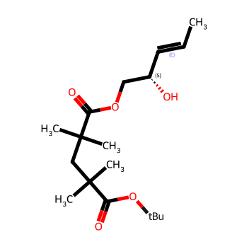 C/C=C/[C@H](O)COC(=O)C(C)(C)CC(C)(C)C(=O)OC(C)(C)C